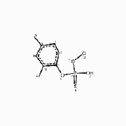 Cc1ccc(OP(O)(=S)OCl)c(C)c1